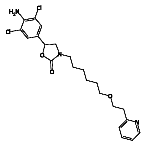 Nc1c(Cl)cc(C2CN(CCCCCCOCCc3ccccn3)C(=O)O2)cc1Cl